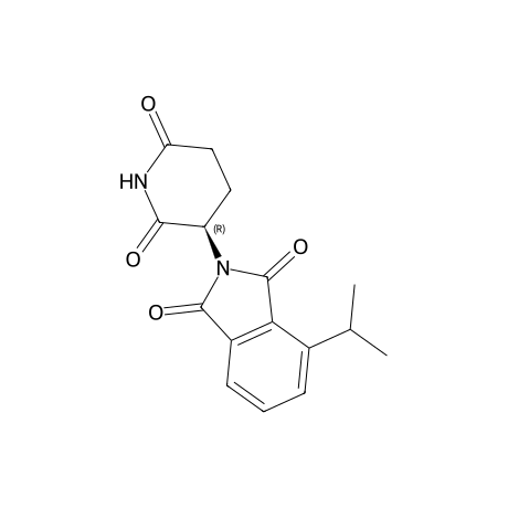 CC(C)c1cccc2c1C(=O)N([C@@H]1CCC(=O)NC1=O)C2=O